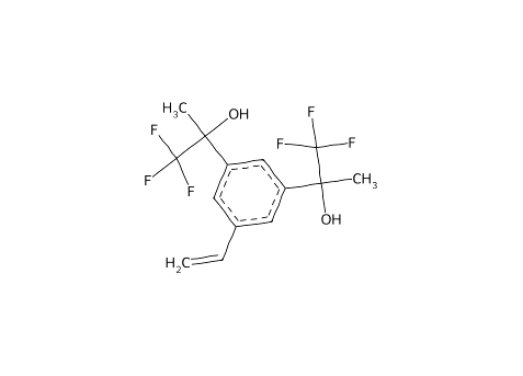 C=Cc1cc(C(C)(O)C(F)(F)F)cc(C(C)(O)C(F)(F)F)c1